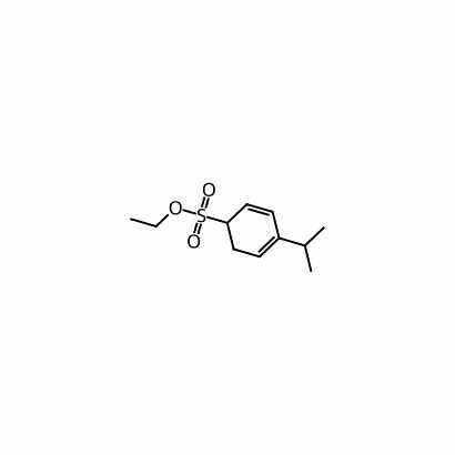 CCOS(=O)(=O)C1C=CC(C(C)C)=CC1